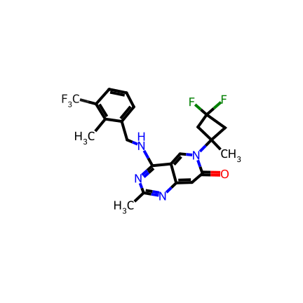 Cc1nc(NCc2cccc(C(F)(F)F)c2C)c2cn(C3(C)CC(F)(F)C3)c(=O)cc2n1